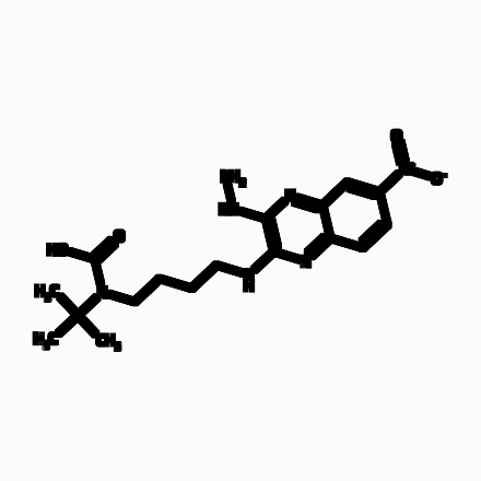 CC(C)(C)N(CCCCNc1nc2ccc([N+](=O)[O-])cc2nc1NN)C(=O)O